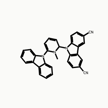 CN1C(n2c3ccccc3c3ccccc32)=CC=CC1n1c2ccc(C#N)cc2c2cc(C#N)ccc21